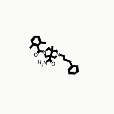 Cc1cccc(C)c1C(=O)N1CC2(C)CN(CC[CH]c3ccccc3)CC2(C(N)=O)C1